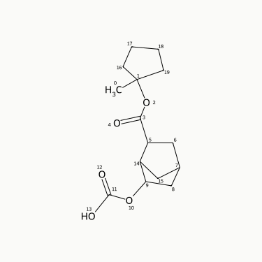 CC1(OC(=O)C2CC3CC(OC(=O)O)C2C3)CCCC1